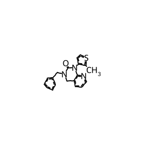 Cc1sccc1N1C(=O)N(Cc2ccccc2)Cc2cccnc21